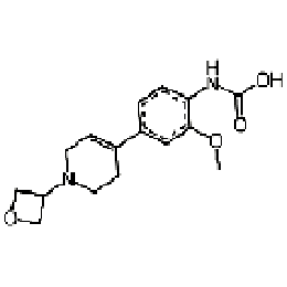 COc1cc(C2=CCN(C3COC3)CC2)ccc1NC(=O)O